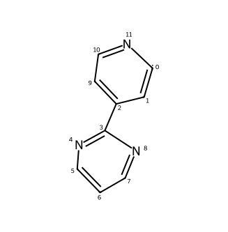 [c]1cc(-c2ncccn2)ccn1